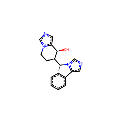 O[C@@H]1c2cncn2CC[C@@H]1[C@H]1c2ccccc2-c2cncn21